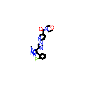 Cn1nnc(-c2ccccc2F)c1-c1cn(-c2ccc(C(=O)N3CCOCC3)cn2)cn1